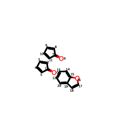 O=C1C=CC=C1.O=C1C=CC=C1.c1ccc2occc2c1